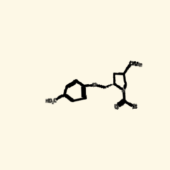 CCC(=O)N1CC(OC)C[C@H]1COc1ccc(C(=O)O)cc1